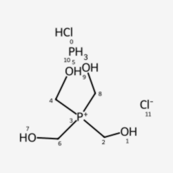 Cl.OC[P+](CO)(CO)CO.P.[Cl-]